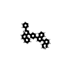 c1ccc(-c2cc(-c3ccc(-c4ccc(-c5cccc6cnccc56)c5ccccc45)cc3)c3c(ccc4ccccc43)n2)cc1